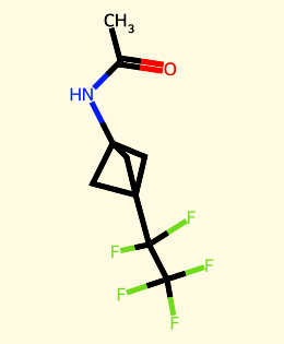 CC(=O)NC12CC(C(F)(F)C(F)(F)F)(C1)C2